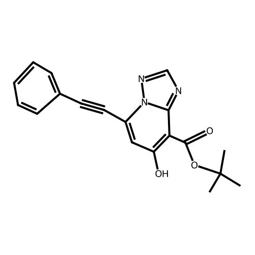 CC(C)(C)OC(=O)c1c(O)cc(C#Cc2ccccc2)n2ncnc12